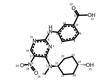 CN(c1nc(Nc2cccc(C(=O)O)c2)ncc1[N+](=O)[O-])[C@H]1CC[C@H](O)CC1